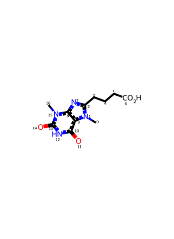 Cn1c(CCCC(=O)O)nc2c1c(=O)[nH]c(=O)n2C